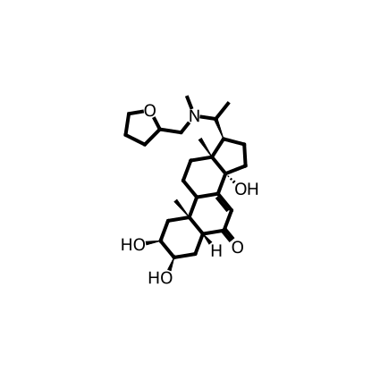 CC([C@H]1CC[C@@]2(O)C3=CC(=O)[C@@H]4C[C@@H](O)[C@@H](O)C[C@]4(C)C3CC[C@]12C)N(C)CC1CCCO1